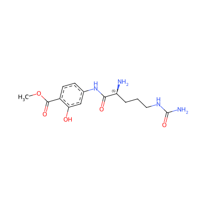 COC(=O)c1ccc(NC(=O)[C@@H](N)CCCNC(N)=O)cc1O